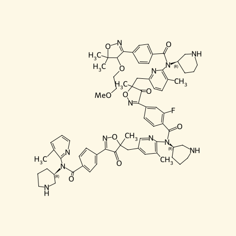 COCCOC1C(c2ccc(C(=O)N(c3nc(CC4(C)ON=C(c5ccc(C(=O)N(c6ncc(CC7(C)ON=C(c8ccc(C(=O)N(c9ncccc9C)[C@@H]9CCCNC9)cc8)C7=O)cc6C)[C@@H]6CCCNC6)c(F)c5)C4=O)ccc3C)[C@@H]3CCCNC3)cc2)=NOC1(C)C